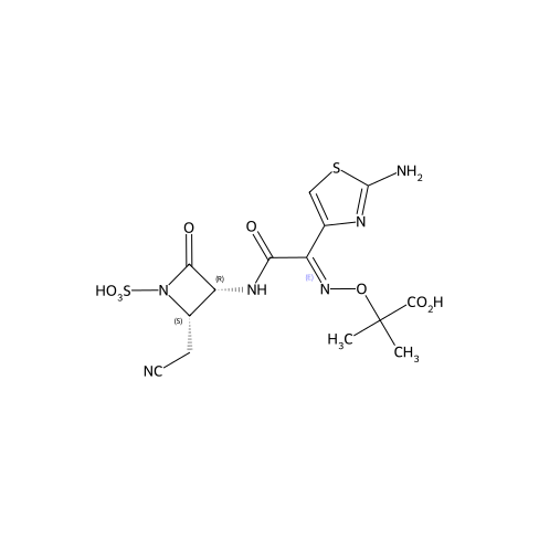 CC(C)(O/N=C(/C(=O)N[C@H]1C(=O)N(S(=O)(=O)O)[C@H]1CC#N)c1csc(N)n1)C(=O)O